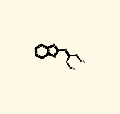 CSC(=Nc1nc2ccccc2o1)SC